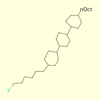 CCCCCCCCC1CCC(C2CCC(C3CCC(CCCCCCF)CC3)CC2)CC1